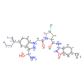 C/C=C\C(=C/C)c1ccc2c(c1)c(C(N)O)nn2CC(=O)N1CC(F)CC1C(=O)Nc1noc2cc(C(F)(F)F)ccc12